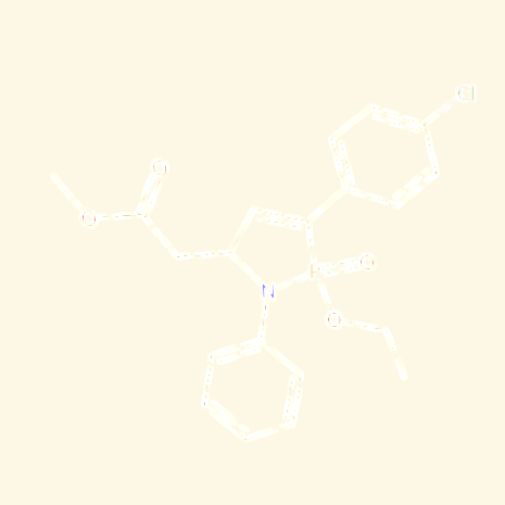 CCOP1(=O)C(c2ccc(Cl)cc2)=CC(CC(=O)OC)N1c1ccccc1